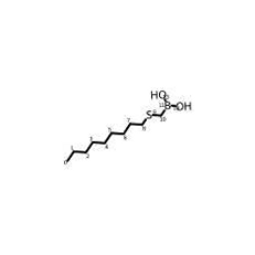 CCCCCCCCCSCB(O)O